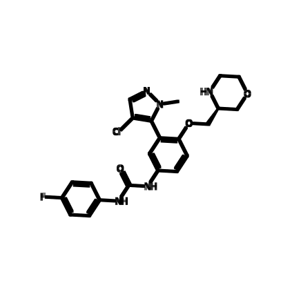 Cn1ncc(Cl)c1-c1cc(NC(=O)Nc2ccc(F)cc2)ccc1OC[C@@H]1COCCN1